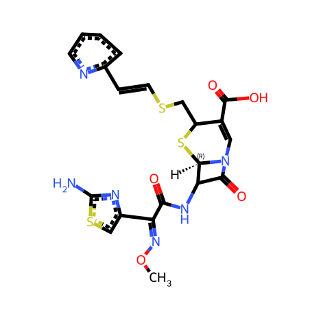 CON=C(C(=O)NC1C(=O)N2C=C(C(=O)O)C(CSC=Cc3ccccn3)S[C@H]12)c1csc(N)n1